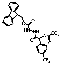 O=C(NNC(=O)C(NC(=O)C(=O)O)c1ccc(C(F)(F)F)cc1)OCC1c2ccccc2-c2ccccc21